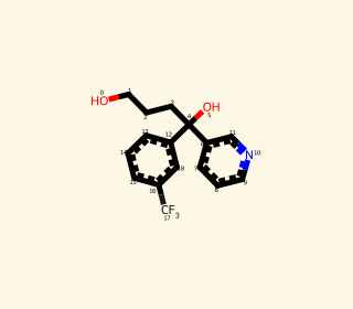 OCCCC(O)(c1cccnc1)c1cccc(C(F)(F)F)c1